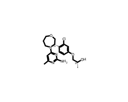 Cc1cc(N2CCCOC[C@@H]2c2ccc(OC[C@@H](C)O)cc2Cl)nc(N)n1